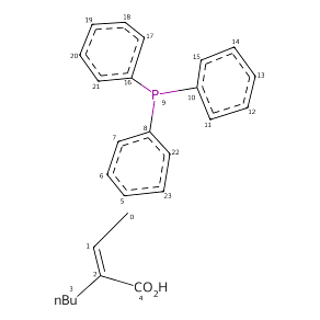 CC=C(CCCC)C(=O)O.c1ccc(P(c2ccccc2)c2ccccc2)cc1